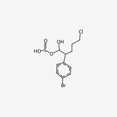 O=S(O)OC(O)C(CCCCl)c1ccc(Br)cc1